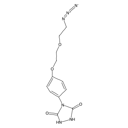 [N-]=[N+]=NCCOCCOc1ccc(-n2c(=O)[nH][nH]c2=O)cc1